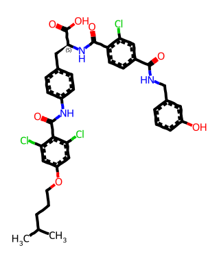 CC(C)CCCOc1cc(Cl)c(C(=O)Nc2ccc(C[C@H](NC(=O)c3ccc(C(=O)NCc4cccc(O)c4)cc3Cl)C(=O)O)cc2)c(Cl)c1